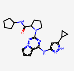 O=C(NC1CCCC1)C1CCCN1c1nc(Nc2cc(C3CC3)[nH]n2)c2cccn2n1